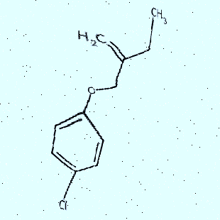 C=C(CC)COc1ccc(Cl)cc1